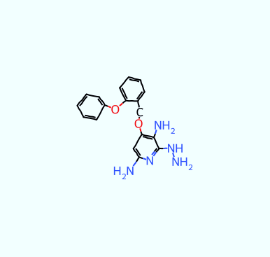 NNc1nc(N)cc(OCc2ccccc2Oc2ccccc2)c1N